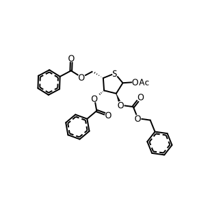 CC(=O)OC1S[C@@H](COC(=O)c2ccccc2)[C@@H](OC(=O)c2ccccc2)[C@@H]1OC(=O)OCc1ccccc1